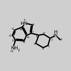 CNC1CCCC(c2c[nH]c3ccc(N)cc23)C1